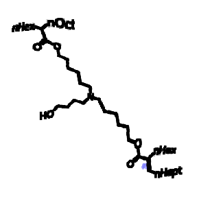 CCCCCCC/C=C(\CCCCCC)C(=O)OCCCCCCN(CCCCO)CCCCCCOC(=O)C(CCCCCC)CCCCCCCC